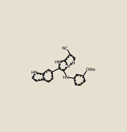 COc1cccc(Nc2c(-c3ccc4cc[nH]c4c3)[nH]c3c(C#N)cnn23)c1